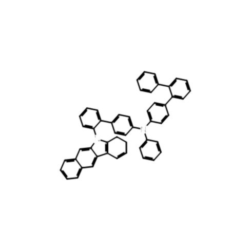 C1=Cc2c(n(-c3ccccc3-c3ccc(N(c4ccccc4)c4ccc(-c5ccccc5-c5ccccc5)cc4)cc3)c3cc4ccccc4cc23)CC1